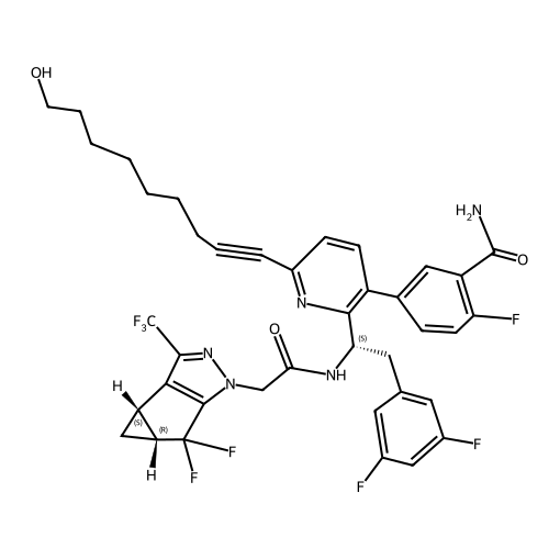 NC(=O)c1cc(-c2ccc(C#CCCCCCCCO)nc2[C@H](Cc2cc(F)cc(F)c2)NC(=O)Cn2nc(C(F)(F)F)c3c2C(F)(F)[C@@H]2C[C@H]32)ccc1F